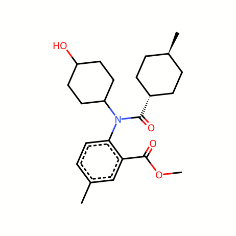 COC(=O)c1cc(C)ccc1N(C(=O)[C@H]1CC[C@H](C)CC1)C1CCC(O)CC1